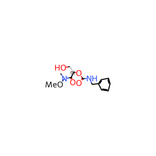 CON(C)C(=O)[C@H](CO)OC(=O)NCc1ccccc1